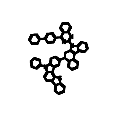 c1ccc(-c2ccc(-c3nc(-n4c5c(c6ccccc64)-c4ccccc4C(c4ccc6c(c4)c4c7sc8ccccc8c7ccc4n6-c4ccccc4)C5)nc4ccccc34)cc2)cc1